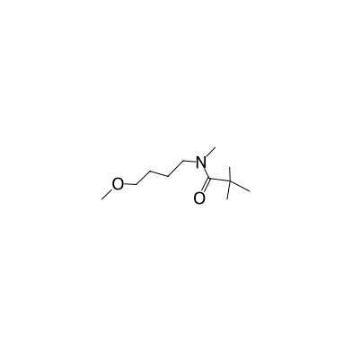 COCCCCN(C)C(=O)C(C)(C)C